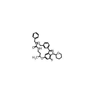 CC(CCNC(=O)OCc1ccccc1)Oc1cc(F)c2c(c1)c(-c1cccc(CO)c1)nn2C1CCCCO1